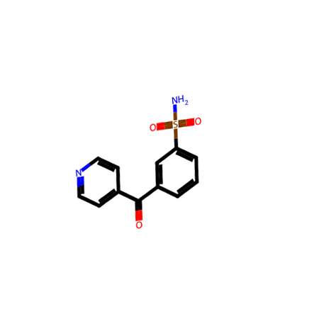 NS(=O)(=O)c1cccc(C(=O)c2ccncc2)c1